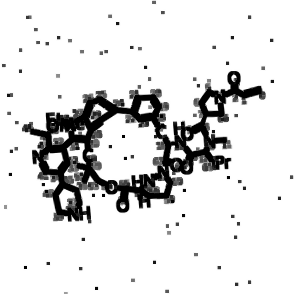 C=CC(=O)N1CC[C@H](C(=O)N(C)C(C(=O)N[C@H]2Cc3cccc(c3)-c3ccc4c(c3)c(c(-c3cc(C5CCNCC5)cnc3[C@H](C)OC)n4CC)CC(C)(C)COC(=O)[C@@H]3CCCN(N3)C2=O)C(C)C)C1